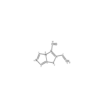 C=Cc1sc2cncn2c1C=O